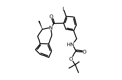 C[C@@H]1Cc2ccccc2CN1C(=O)c1cc(CNC(=O)OC(C)(C)C)ccc1I